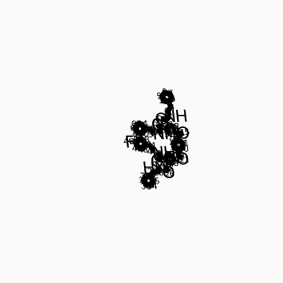 O=C(NCCc1ccccc1)[C@H]1CN(C(=O)c2ccc(C(=O)N3C[C@H](C(=O)NCCc4ccccc4)[C@@H](C(=O)NCCc4ccc(F)cc4)C3)cc2)C[C@@H]1C(=O)NCCc1ccccc1